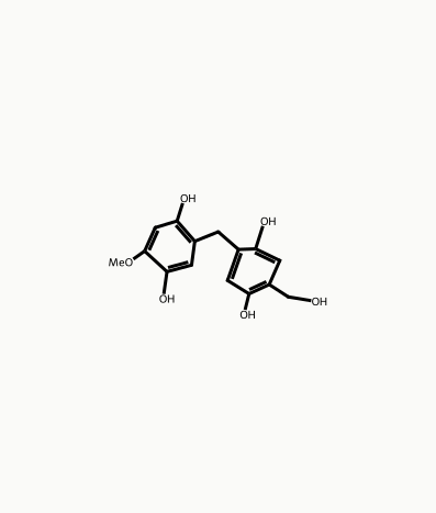 COc1cc(O)c(Cc2cc(O)c(CO)cc2O)cc1O